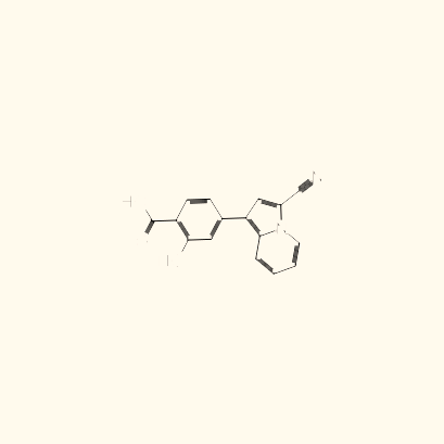 N#Cc1cc(-c2ccc(C(=O)O)c(O)c2)c2ccccn12